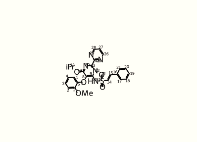 COc1ccccc1Oc1c(NS(=O)(=O)C=Cc2ccccc2)nc(-c2ncccn2)nc1OC(C)C